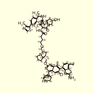 Cc1ncsc1-c1ccc([C@H](C)NC(=O)[C@@H]2C[C@@H](O)CN2C(=O)[C@@H](NC(=O)CCCOC[C@H]2CC[C@@]3(COc4nc(N5CC6CCCC5CN6)c5cc(Cl)c(-c6ccc(F)c7sc(N)nc67)c(F)c5n4)CCCN23)C(C)(C)C)cc1